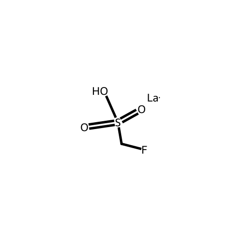 O=S(=O)(O)CF.[La]